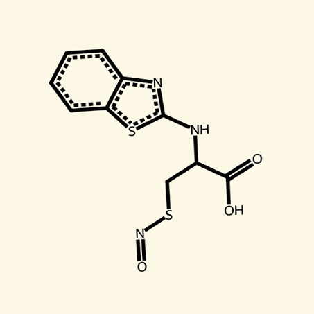 O=NSCC(Nc1nc2ccccc2s1)C(=O)O